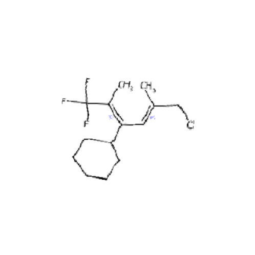 C/C(=C\C(=C(/C)C(F)(F)F)C1CCCCC1)CCl